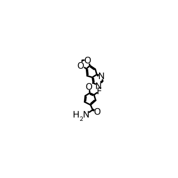 NC(=O)c1ccc(Oc2ncnc3cc4c(cc23)OCO4)c(F)c1